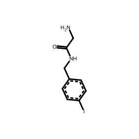 NCC(=O)NCc1ccc(I)cc1